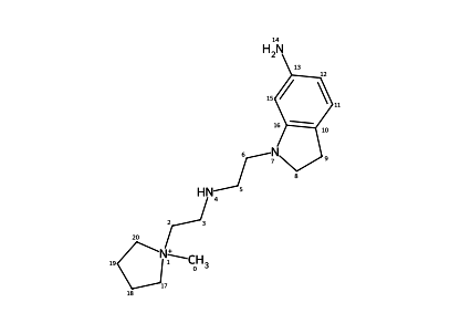 C[N+]1(CCNCCN2CCc3ccc(N)cc32)CCCC1